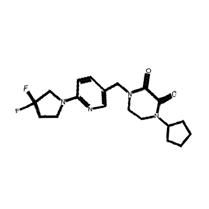 O=C1C(=O)N(C2CCCC2)CCN1Cc1ccc(N2CCC(F)(F)C2)nc1